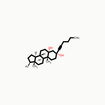 CC(=O)OCCCC#C[C@@]1(O)CC[C@]2(C)[C@H]3CC[C@]4(C)[C@@H](C(C)=O)CC[C@H]4[C@@H]3CC[C@@]2(O)C1